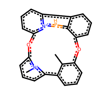 Cc1c2cccc1c1cccc(oc3cccc4c5cccc(o2)c5[pH][n+]34)[n+]1C